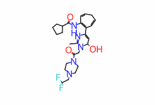 CC1=NC(C2=C(NC(=O)C3CCCC3)C=CCC=C2)=CC(O)N1CC(=O)N1CCN(CC(F)F)CC1